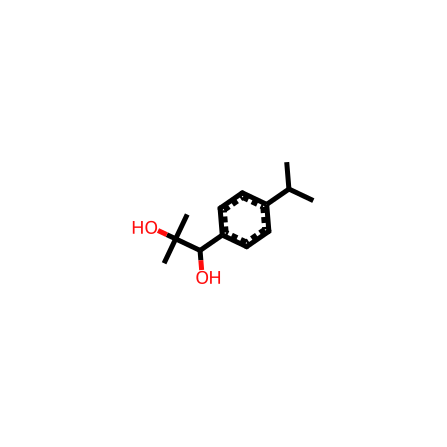 CC(C)c1ccc(C(O)C(C)(C)O)cc1